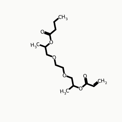 C=CC(=O)OC(C)COCCOCC(C)OC(=O)CCC